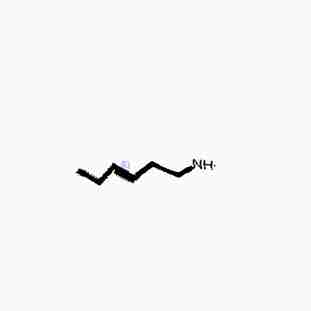 CC/C=C/CC[NH]